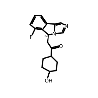 O=C(C[C@H]1c2c(F)cccc2-c2cncn21)C1CCC(O)CC1